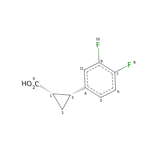 O=C(O)[C@H]1C[C@H]1c1ccc(F)c(F)c1